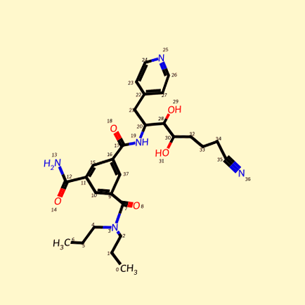 CCCN(CCC)C(=O)c1cc(C(N)=O)cc(C(=O)NC(Cc2ccncc2)C(O)C(O)CCCC#N)c1